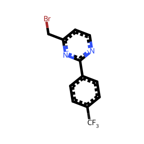 FC(F)(F)c1ccc(-c2nccc(CBr)n2)cc1